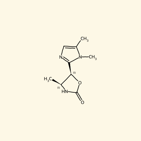 Cc1cnc([C@H]2OC(=O)N[C@H]2C)n1C